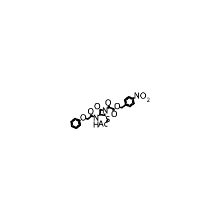 CC(=O)S[C@H]1[C@@H](NC(=O)COc2ccccc2)C(=O)N1C(=O)C(=O)OCc1ccc([N+](=O)[O-])cc1